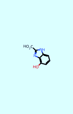 O=C(O)c1nc2c(O)cccc2[nH]1